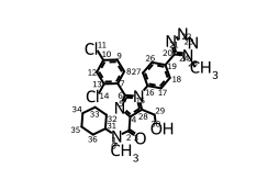 CN(C(=O)c1nc(-c2ccc(Cl)cc2Cl)n(-c2ccc(-c3nnnn3C)cc2)c1CO)C1CCCCC1